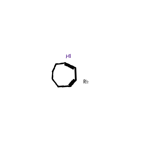 C1=CCCCCC=C1.I.[Rh]